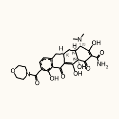 CN(C)[C@@H]1C(O)=C(C(N)=O)C(=O)[C@@]2(O)C(O)=C3C(=O)c4c(ccc(C(=O)N5CCOCC5)c4O)C[C@H]3C[C@@H]12